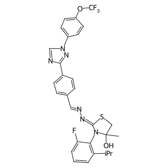 CC(C)c1cccc(F)c1N1/C(=N/N=C/c2ccc(-c3ncn(-c4ccc(OC(F)(F)F)cc4)n3)cc2)SCC1(C)O